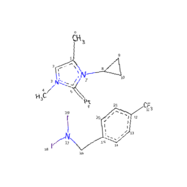 Cc1cn(C)[c](=[Pt])n1C1CC1.FC(F)(F)c1ccc(CN(I)I)cc1